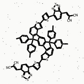 Cc1ccc(C2(c3ccc(C)cc3)c3cc4c(cc3-c3c2ccc2sc(-c5ccc(-c6ccc(C=C(C#N)C#N)c7nsnc67)s5)cc32)C(c2ccc(C)cc2)(c2ccc(C)cc2)c2ccc3sc(-c5ccc(-c6ccc(C=C(C#N)C#N)c7nsnc67)s5)cc3c2-4)cc1